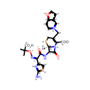 CC(C)(O/N=C(\C(=O)NC1C(=O)N2C(C(=O)[O-])=C(C[n+]3ccc4occc4c3)CS[C@H]12)c1csc(N)n1)C(=O)O